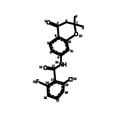 CC1(C)CC(=O)c2ccc(NC(=O)c3c(F)cccc3Cl)cc2O1